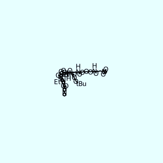 CCc1c2c(nc3ccc(OC(=O)N4CCC(N5CCCCC5)CC4)cc13)-c1cc3c(c(=O)n1C2)COC(=O)[C@@]3(CC)OC(=O)CNC(=O)C(CCCCNC(=O)COCCOCCOCCNC(=O)CCCCCN1C(=O)C=CC1=O)NC(=O)COCCOCC(C)(C)C